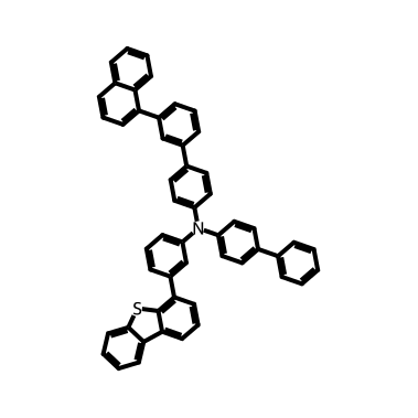 c1ccc(-c2ccc(N(c3ccc(-c4cccc(-c5cccc6ccccc56)c4)cc3)c3cccc(-c4cccc5c4sc4ccccc45)c3)cc2)cc1